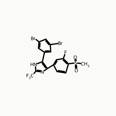 CS(=O)(=O)c1ccc(-c2nc(C(F)(F)F)[nH]c2-c2cc(Br)cc(Br)c2)cc1F